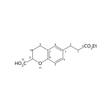 CCOC(=O)CCc1ccc2c(c1)CCC(C(=O)O)O2